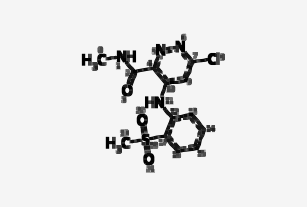 CNC(=O)c1nnc(Cl)cc1Nc1ccccc1S(C)(=O)=O